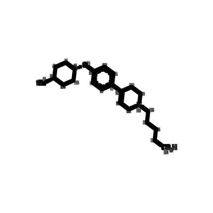 CC(C)(C)[C@H]1CC[C@H](Oc2ccc(C3=CCN(CCCCC(=O)O)CC3)cc2)CC1